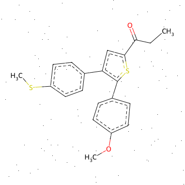 CCC(=O)c1cc(-c2ccc(SC)cc2)c(-c2ccc(OC)cc2)s1